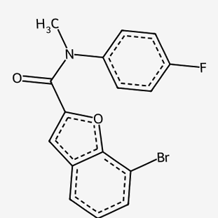 CN(C(=O)c1cc2cccc(Br)c2o1)c1ccc(F)cc1